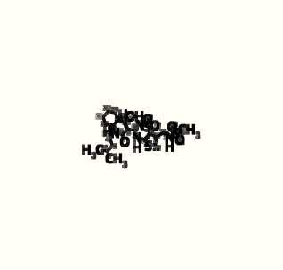 CC(C)CCN1C(=O)C(C2=NS(=O)(=O)c3c(CNS(C)(=O)=O)csc3N2)=C(O)[C@H]2CCCC[C@H]21